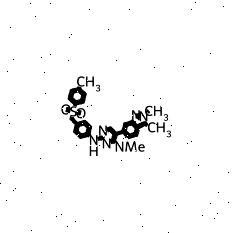 CNc1nc(Nc2ccc(CS(=O)(=O)c3ccc(C)cc3)cc2)ncc1-c1ccc2c(C)n(C)nc2c1